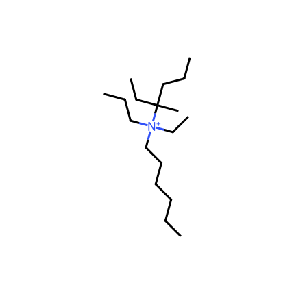 CCCCCC[N+](CC)(CCC)C(C)(CC)CCC